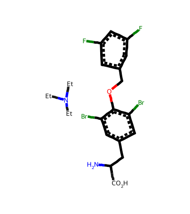 CCN(CC)CC.NC(Cc1cc(Br)c(OCc2cc(F)cc(F)c2)c(Br)c1)C(=O)O